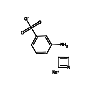 C1=CN=C1.Nc1cccc(S(=O)(=O)[O-])c1.[Na+]